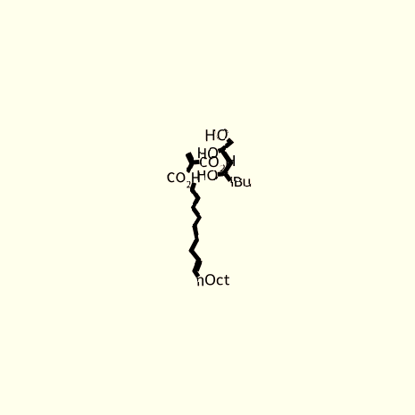 C=C(C)C(=O)O.CCC(C)C(O)CC(O)CO.CCCCCCCCC=CCCCCCCCC(=O)O